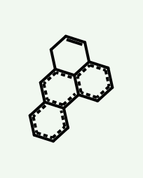 C1=Cc2cccc3c2c(cc2ccccc23)C1